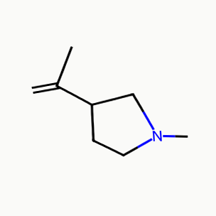 C=C(C)C1CCN(C)C1